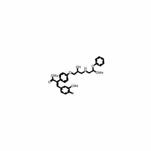 COC(=O)C(=Cc1ccc(F)c(OC)c1)c1ccc(OCC(O)CNCC(OC)Oc2ccccc2)cc1